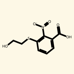 O=C(O)c1cccc(SCCO)c1[N+](=O)[O-]